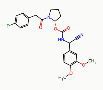 COc1ccc(C(C#N)NC(=O)O[C@H]2CCCN2C(=O)Cc2ccc(F)cc2)cc1OC